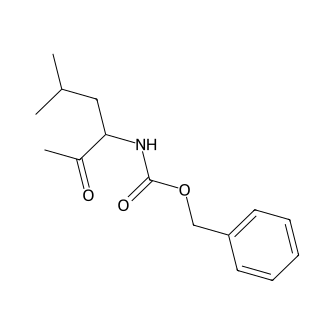 CC(=O)C(CC(C)C)NC(=O)OCc1ccccc1